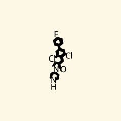 O=C1C(Cc2c(Cl)cc(-c3ccc(F)cc3)cc2Cl)CCN1C1CCNCC1